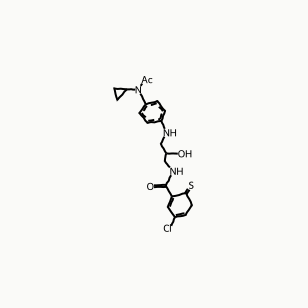 CC(=O)N(c1ccc(NCC(O)CNC(=O)C2=CC(Cl)=CCC2=S)cc1)C1CC1